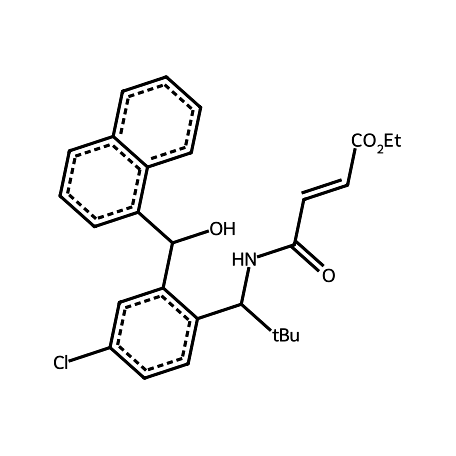 CCOC(=O)/C=C/C(=O)NC(c1ccc(Cl)cc1C(O)c1cccc2ccccc12)C(C)(C)C